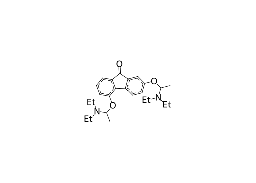 CCN(CC)C(C)Oc1ccc2c(c1)C(=O)c1cccc(OC(C)N(CC)CC)c1-2